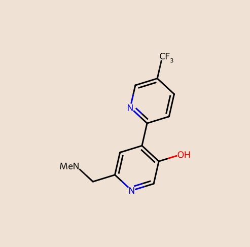 CNCc1cc(-c2ccc(C(F)(F)F)cn2)c(O)cn1